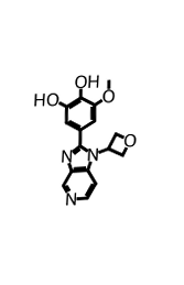 COc1cc(-c2nc3cnccc3n2C2COC2)cc(O)c1O